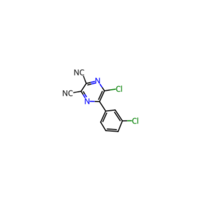 N#Cc1nc(Cl)c(-c2cccc(Cl)c2)nc1C#N